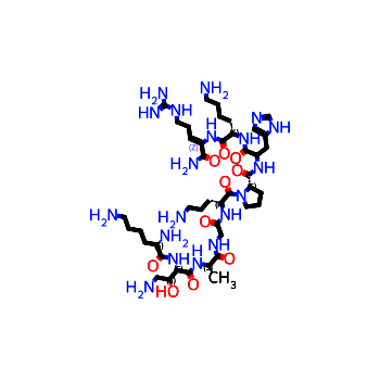 C[C@H](NC(=O)[C@@H](NC(=O)[C@@H](N)CCCCN)[C@@H](O)CN)C(=O)NCC(=O)N[C@H](CCCN)C(=O)N1CCC[C@H]1C(=O)NC(Cc1cnc[nH]1)C(=O)N[C@@H](CCCCN)C(=O)N/C(=C\CCNC(=N)N)C(N)=O